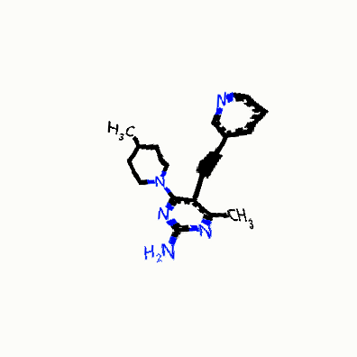 Cc1nc(N)nc(N2CCC(C)CC2)c1C#Cc1cccnc1